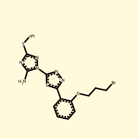 CCCSc1nc(N)n(-c2nnc(-c3ccccc3OCCCBr)s2)n1